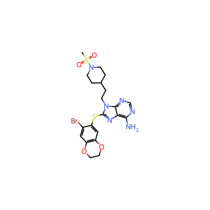 CS(=O)(=O)N1CCC(CCn2c(Sc3cc4c(cc3Br)OCCO4)nc3c(N)ncnc32)CC1